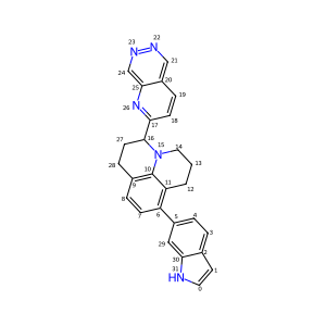 c1cc2ccc(-c3ccc4c5c3CCCN5C(c3ccc5cnncc5n3)CC4)cc2[nH]1